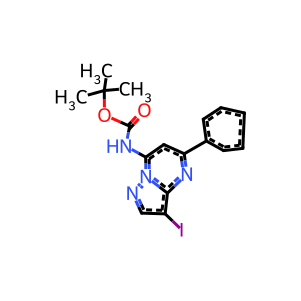 CC(C)(C)OC(=O)Nc1cc(-c2ccccc2)nc2c(I)cnn12